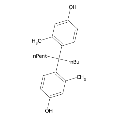 CCCCCC(CCCC)(c1ccc(O)cc1C)c1ccc(O)cc1C